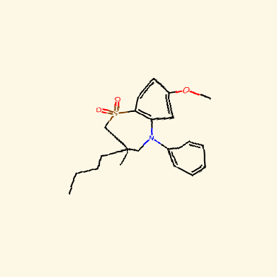 CCCCC1(C)CN(c2ccccc2)c2cc(OC)ccc2S(=O)(=O)C1